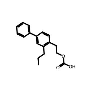 CCCc1cc(-c2ccccc2)ccc1CCOC(=O)O